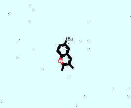 Cc1cc2cc(C(C)(C)C)ccc2[o+]c1C